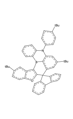 CC(C)(C)c1ccc(N2c3ccccc3B3c4c2cc(C(C)(C)C)cc4C2(c4ccccc4-c4ccccc42)c2oc4ccc(C(C)(C)C)cc4c23)cc1